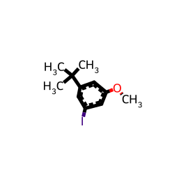 COc1cc(I)cc(C(C)(C)C)c1